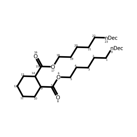 CCCCCCCCCCCCCCCOC(=O)C1CCCCC1C(=O)OCCCCCCCCCCCCCCC